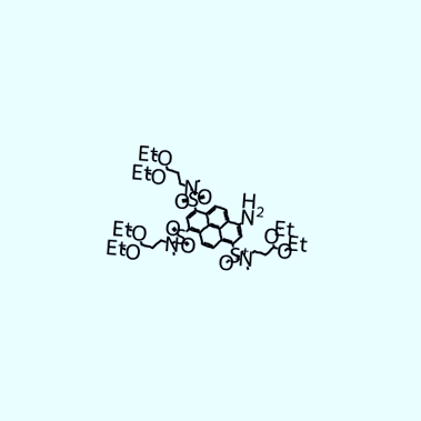 CCOC(CCN(C)[S+]([O-])c1cc(N)c2ccc3c(S(=O)(=O)N(C)CCC(OCC)OCC)cc(S(=O)(=O)N(C)CCC(OCC)OCC)c4ccc1c2c34)OCC